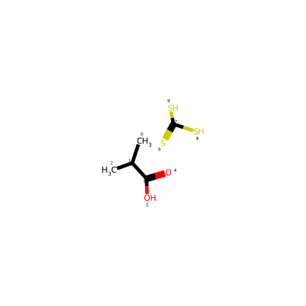 CC(C)C(=O)O.S=C(S)S